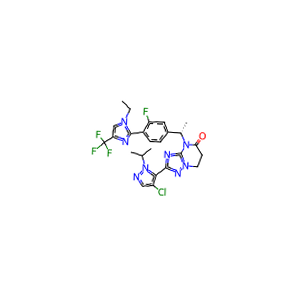 CCn1cc(C(F)(F)F)nc1-c1ccc([C@H](C)N2C(=O)CCn3nc(-c4c(Cl)cnn4C(C)C)nc32)cc1F